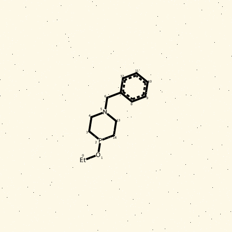 CCOP1CCN(Cc2ccccc2)CC1